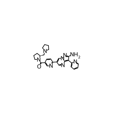 Nc1nn2cc(-c3ccc(C(=O)N4CCC[C@H]4CN4CCCC4)cn3)cnc2c1-c1ccccn1